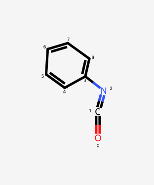 O=C=Nc1[c]cccc1